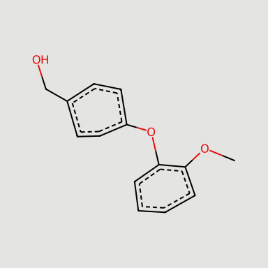 COc1ccccc1Oc1ccc(CO)cc1